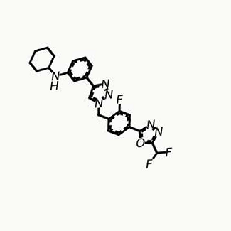 Fc1cc(-c2nnc(C(F)F)o2)ccc1Cn1cc(-c2cccc(NC3CCCCC3)c2)nn1